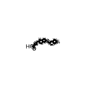 CC[C@H](COc1ccc2c(c1)CCC(CN1CC(C(=O)O)C1)=C2C)Cc1ccc(F)cc1